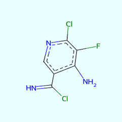 N=C(Cl)c1cnc(Cl)c(F)c1N